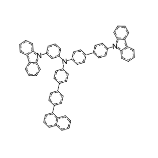 c1cc(N(c2ccc(-c3ccc(-c4cccc5ccccc45)cc3)cc2)c2ccc(-c3ccc(-n4c5ccccc5c5ccccc54)cc3)cc2)cc(-n2c3ccccc3c3ccccc32)c1